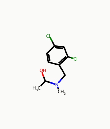 CC(O)N(C)Cc1ccc(Cl)cc1Cl